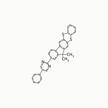 CC1(C)c2cc(-c3ncc(-c4ccccc4)cn3)ccc2-c2cc3c(cc21)Sc1ccccc1S3